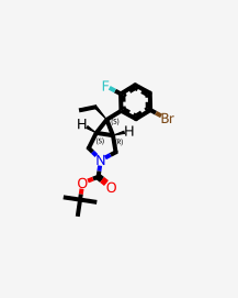 CC[C@@]1(c2cc(Br)ccc2F)[C@@H]2CN(C(=O)OC(C)(C)C)C[C@@H]21